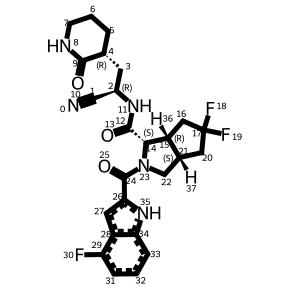 N#C[C@@H](C[C@H]1CCCNC1=O)NC(=O)[C@@H]1[C@@H]2CC(F)(F)C[C@@H]2CN1C(=O)c1cc2c(F)cccc2[nH]1